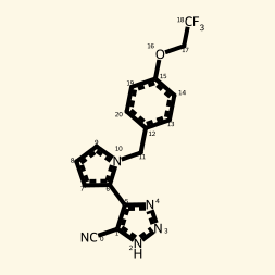 N#Cc1[nH]nnc1-c1cccn1Cc1ccc(OCC(F)(F)F)cc1